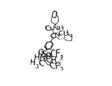 Cn1c(C(=O)NC2CCOCC2)cc(-c2ccc(S(=O)(=O)NC(C)(C)CC(F)(F)F)c(C(F)(F)F)c2)c1CC1CCCCC1